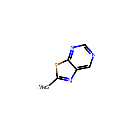 CSc1nc2cncnc2s1